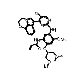 C=CC(=O)Nc1cc(Nc2ncc(Cl)c(-c3cn4c5c(cccc35)OCC4)n2)c(OC)cc1OC(COCC)CN(C)C